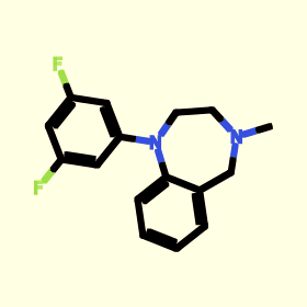 CN1CCN(c2cc(F)cc(F)c2)c2ccccc2C1